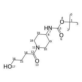 CC(C)(C)OC(=O)NC1CCN(C(=O)CCCO)CC1